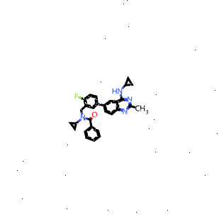 Cc1nc(NC2CC2)c2cc(-c3ccc(F)c(CN(C(=O)c4ccccc4)C4CC4)c3)ccc2n1